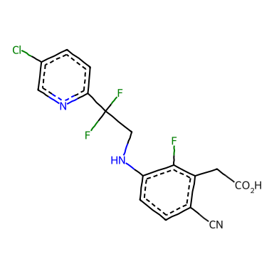 N#Cc1ccc(NCC(F)(F)c2ccc(Cl)cn2)c(F)c1CC(=O)O